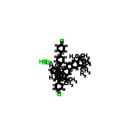 Cl.Cl.[CH2]=[Zr]([C]1=CC=CC1)([c]1ccc(-c2ccc(Cl)cc2)cc1)([c]1ccc(-c2ccc(Cl)cc2)cc1)[c]1c2c(cc(C(C)(C)C)c1C(C)(C)C)-c1cc(C(C)(C)C)c(C(C)(C)C)cc1C2